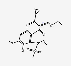 CCO/C=C(\C(=O)c1ccc(SC)c(Cl)c1N(CC)S(C)(=O)=O)C(=O)C1CC1